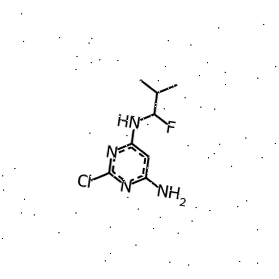 CC(C)C(F)Nc1cc(N)nc(Cl)n1